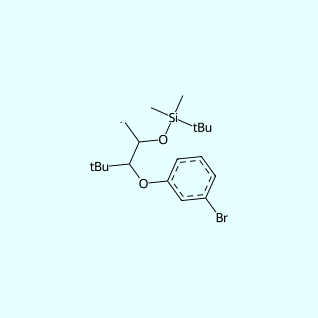 [CH2]C(O[Si](C)(C)C(C)(C)C)C(Oc1cccc(Br)c1)C(C)(C)C